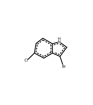 Clc1ccc2[nH][c]c(Br)c2c1